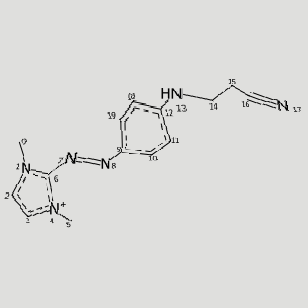 Cn1cc[n+](C)c1N=Nc1ccc(NCCC#N)cc1